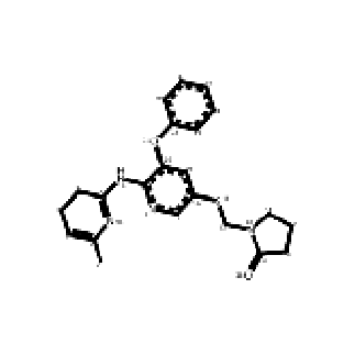 CC1=CCCC(Nc2ncc(SCN3CCCC3=O)cc2Oc2ccccc2)=N1